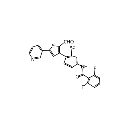 CC(=O)c1cc(NC(=O)c2c(F)cccc2F)ccc1-c1cc(-c2cccnc2)sc1C=O